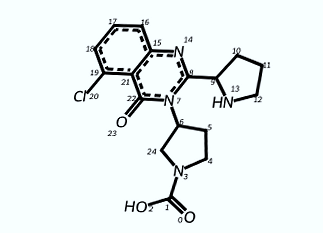 O=C(O)N1CCC(n2c(C3CCCN3)nc3cccc(Cl)c3c2=O)C1